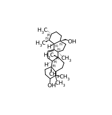 C[C@H]1[C@H](C)CC[C@]2(CO)CC[C@]3(C)C(=CC[C@@H]4[C@@]5(C)CCC(O)C(C)(C)C5CC[C@]43C)[C@H]12